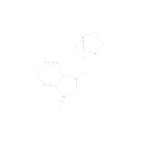 CC12C=CC(CC1)C2.O=C1OC(=O)c2ccccc21